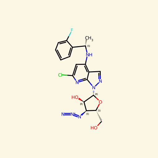 C[C@H](Nc1cc(Cl)nc2c1cnn2[C@@H]1O[C@H](CO)[C@@H](N=[N+]=[N-])[C@H]1O)c1ccccc1F